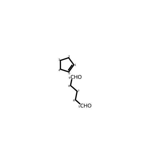 C1=CCCC1.O=CCCCC=O